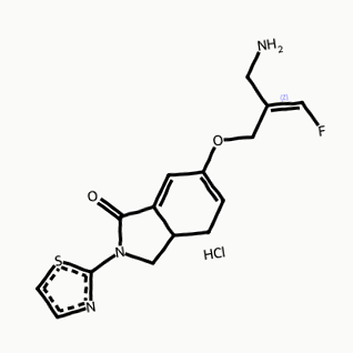 Cl.NC/C(=C/F)COC1=CCC2CN(c3nccs3)C(=O)C2=C1